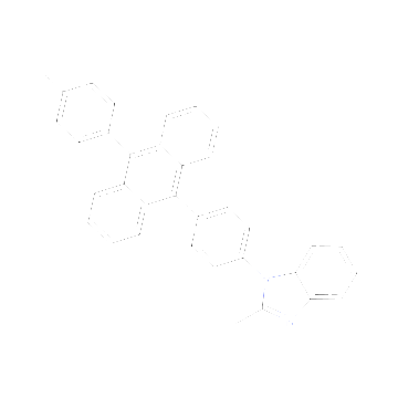 Cc1ccc(-c2c3ccccc3c(-c3ccc(-n4c(C)nc5ccccc54)cc3)c3ccccc23)cc1